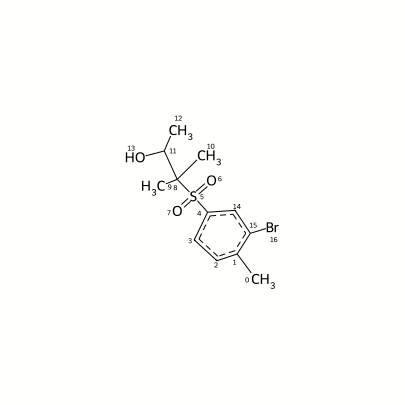 Cc1ccc(S(=O)(=O)C(C)(C)C(C)O)cc1Br